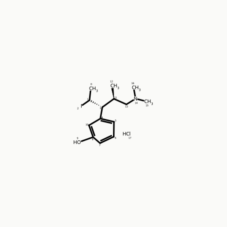 CC(I)[C@@H](c1cccc(O)c1)[C@@H](C)CN(C)C.Cl